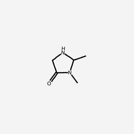 C[C]1NCC(=O)N1C